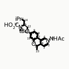 CC(=O)NN1C=CC2C(=C1)c1ccc(OC[C@H](CC(C)C)N(C(=O)O)C(C)(C)C)cc1OC2C